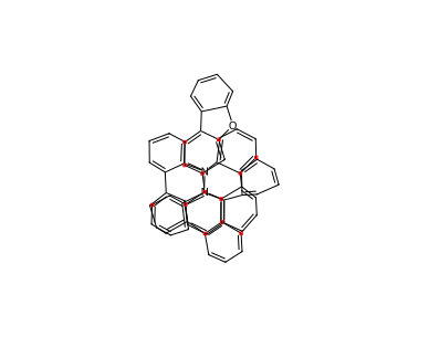 c1ccc(-c2ccccc2N(c2ccc3c(c2)oc2ccccc23)c2ccccc2-c2ccccc2N(c2ccccc2-c2ccccc2)c2ccccc2-c2ccccc2)cc1